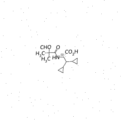 CC(C)(C=O)C(=O)N[C@H](C(=O)O)C(C1CC1)C1CC1